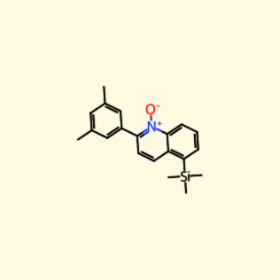 Cc1cc(C)cc(-c2ccc3c([Si](C)(C)C)cccc3[n+]2[O-])c1